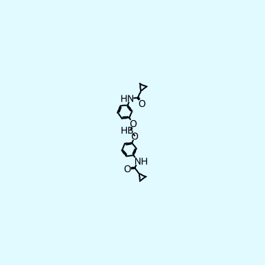 O=C(Nc1cccc(OBOc2cccc(NC(=O)C3CC3)c2)c1)C1CC1